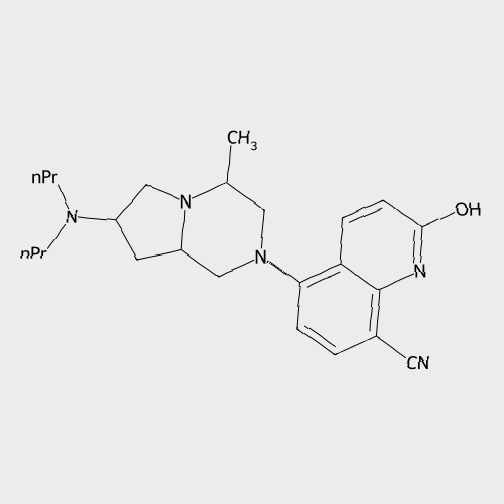 CCCN(CCC)C1CC2CN(c3ccc(C#N)c4nc(O)ccc34)CC(C)N2C1